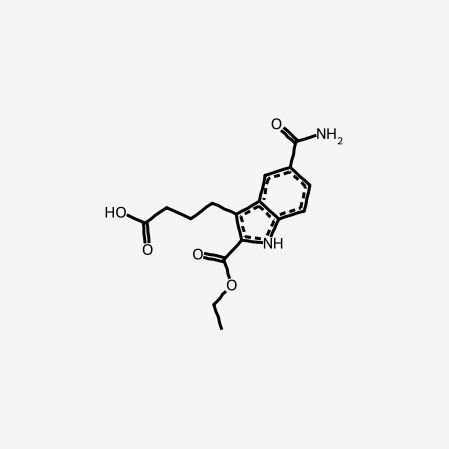 CCOC(=O)c1[nH]c2ccc(C(N)=O)cc2c1CCCC(=O)O